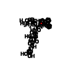 CC(C)(C)OC(=O)C(C)(C)ON=C(C(=O)NC1CN2CC(C(=O)NCC(=O)NCc3cc(O)c(O)cn3)=C(C(=O)O)N2C1=O)c1csc(NC(c2ccccc2)(c2ccccc2)c2ccccc2)n1